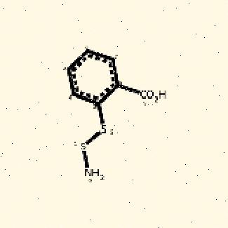 NSSc1ccccc1C(=O)O